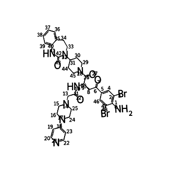 Nc1c(Br)cc(C(=O)C[C@@H](NC(=O)CN2CCN(c3ccncc3)CC2)C(=O)N2CCC(N3CCc4ccccc4NC3=O)CC2)cc1Br